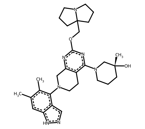 Cc1cc2[nH]ncc2c(N2CCc3c(nc(OCC45CCCN4CCC5)nc3N3CCC[C@@](C)(O)C3)C2)c1C